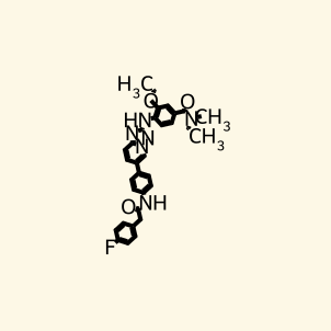 CCOc1cc(C(=O)N(C)CC)ccc1Nc1nc2ccc(-c3ccc(NC(=O)Cc4ccc(F)cc4)cc3)cn2n1